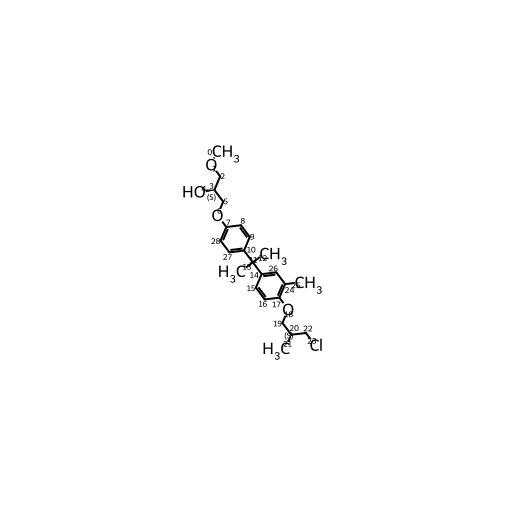 COC[C@H](O)COc1ccc(C(C)(C)c2ccc(OC[C@H](C)CCl)c(C)c2)cc1